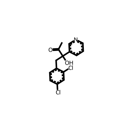 CC(=O)C(O)(Cc1ccc(Cl)cc1Cl)c1cccnc1